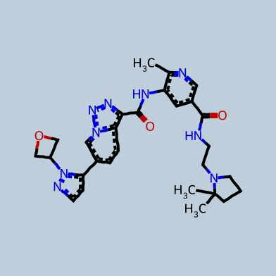 Cc1ncc(C(=O)NCCN2CCCC2(C)C)cc1NC(=O)c1nnn2cc(-c3ccnn3C3COC3)ccc12